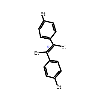 CC/C(=C(/CC)c1ccc(CC)cc1)c1ccc(CC)cc1